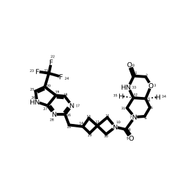 O=C1CO[C@H]2CCN(C(=O)N3CC4(CC(Cc5ncc6c(C(F)(F)F)c[nH]c6n5)C4)C3)C[C@H]2N1